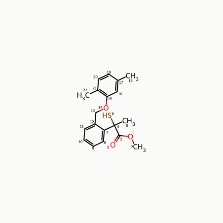 COC(=O)C(C)(S)c1ccccc1COc1cc(C)ccc1C